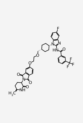 C=C1CCC(N2C(=O)c3ccc(OCCOC[C@H]4CC[C@@H](n5c(NC(=O)c6cccc(C(F)(F)F)c6)nc6cc(F)ccc65)CC4)cc3C2=O)C(=O)N1